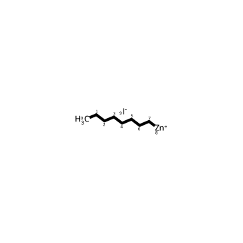 CCCCCCC[CH2][Zn+].[I-]